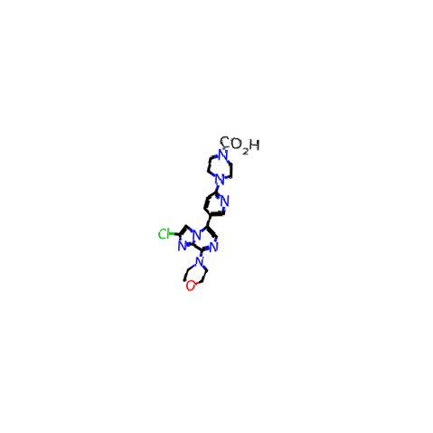 O=C(O)N1CCN(c2ccc(-c3cnc(N4CCOCC4)c4nc(Cl)cn34)cn2)CC1